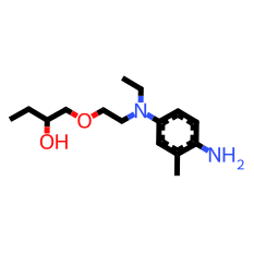 CCC(O)COCCN(CC)c1ccc(N)c(C)c1